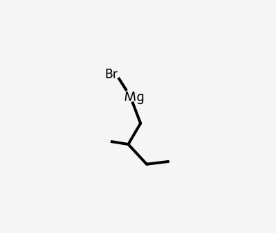 CCC(C)[CH2][Mg][Br]